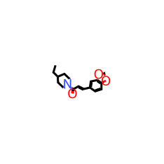 CCC1CCN(C(=O)C=Cc2ccc3c(c2)OCO3)CC1